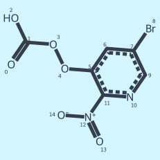 O=C(O)OOc1cc(Br)cnc1[N+](=O)[O-]